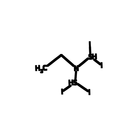 CCN([SH](I)I)[SH](I)I